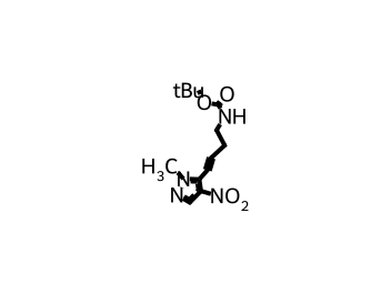 Cn1ncc([N+](=O)[O-])c1C#CCCNC(=O)OC(C)(C)C